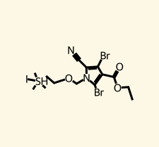 CCOC(=O)c1c(Br)c(C#N)n(COCC[SH](C)(C)(C)I)c1Br